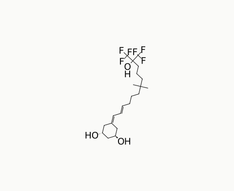 CC(C)(CCC/C=C/C=C1C[C@@H](O)C[C@H](O)C1)CCCC(O)(C(F)(F)F)C(F)(F)F